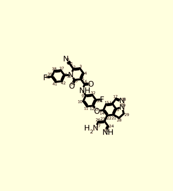 N#Cc1ccc(C(=O)Nc2ccc(Oc3cc4cnn5c4c(c3/C(C=N)=C/N)CC5)c(F)c2)c(=O)n1-c1ccc(F)cc1